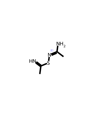 CC(=N)S/N=C(\C)N